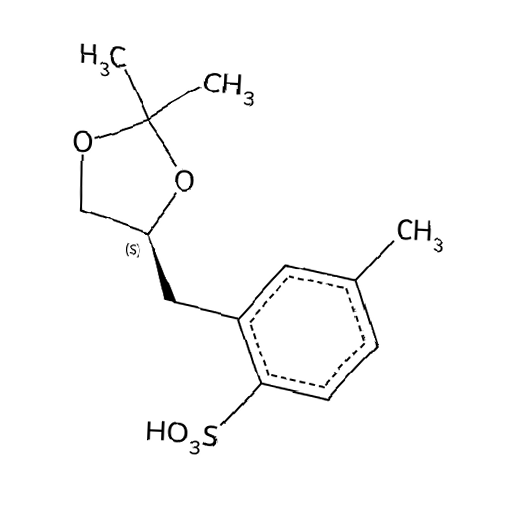 Cc1ccc(S(=O)(=O)O)c(C[C@H]2COC(C)(C)O2)c1